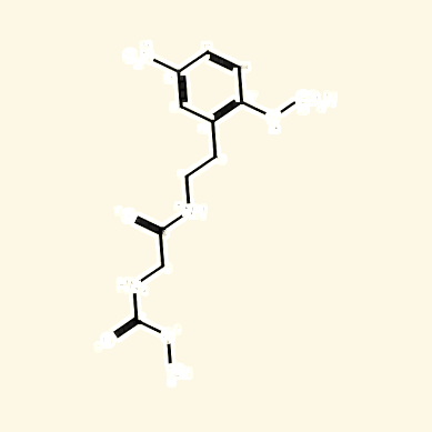 CC(C)(C)OC(=O)NCC(=O)NCCc1cc([N+](=O)[O-])ccc1OC(=O)O